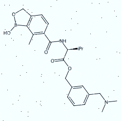 Cc1c(C(=O)N[C@H](C(=O)OCc2cccc(CN(C)C)c2)C(C)C)ccc2c1B(O)OC2